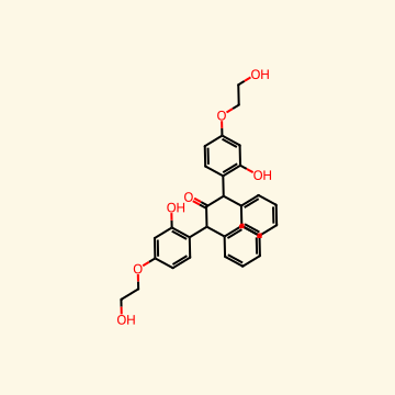 O=C(C(c1ccccc1)c1ccc(OCCO)cc1O)C(c1ccccc1)c1ccc(OCCO)cc1O